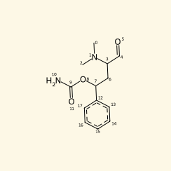 CN(C)C(C=O)CC(OC(N)=O)c1ccccc1